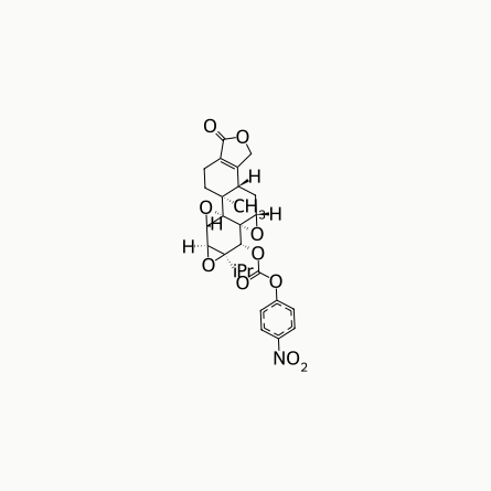 CC(C)[C@]12O[C@H]1[C@@H]1O[C@]13[C@]1(O[C@H]1C[C@H]1C4=C(CC[C@@]13C)C(=O)OC4)[C@@H]2OC(=O)Oc1ccc([N+](=O)[O-])cc1